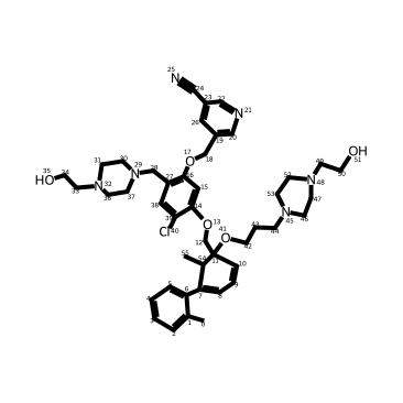 Cc1ccccc1C1=CC=CC(COc2cc(OCc3cncc(C#N)c3)c(CN3CCN(CCO)CC3)cc2Cl)(OCCCN2CCN(CCO)CC2)C1C